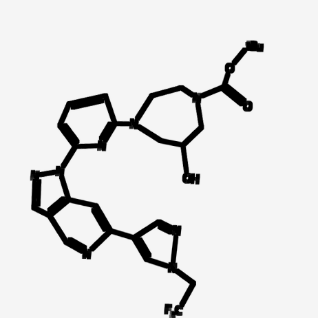 CC(C)(C)OC(=O)N1CCN(c2cccc(-n3ncc4cnc(-c5cnn(CC(F)(F)F)c5)cc43)n2)CC(O)C1